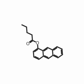 CCCCC(=O)Oc1cccc2cc3ccccc3cc12